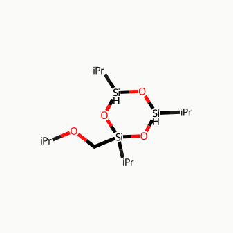 CC(C)OC[Si]1(C(C)C)O[SiH](C(C)C)O[SiH](C(C)C)O1